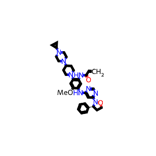 C=CC(=O)Nc1cc(Nc2cc(N3OCC[C@@H]3c3ccccc3)ncn2)c(OC)cc1N1CCC(N2CCN(C3CC3)CC2)CC1